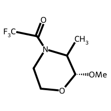 CO[C@@H]1OCCN(C(=O)C(F)(F)F)C1C